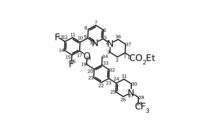 CCOC(=O)C1CCN(c2cccc(-c3cc(F)cc(F)c3OCc3ccc(C4=CCN(CC(F)(F)F)CC4)cc3C)n2)CC1